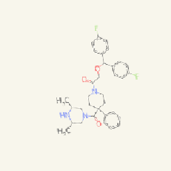 CC1CN(C(=O)C2(c3ccccc3)CCN(C(=O)COC(c3ccc(F)cc3)c3ccc(F)cc3)CC2)CC(C)N1